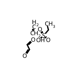 C=C.CCS(=O)(=O)O.O=CC=O